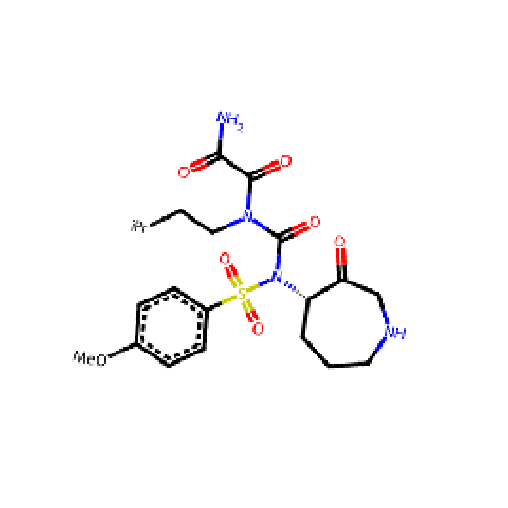 COc1ccc(S(=O)(=O)N(C(=O)N(CCC(C)C)C(=O)C(N)=O)[C@H]2CCCNCC2=O)cc1